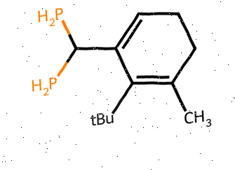 CC1=C(C(C)(C)C)C(C(P)P)=CCC1